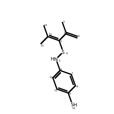 C=C(C)C(SNc1ccc(S)cc1)=C(C)C